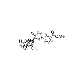 COC(=O)c1cccc(-c2ccc(F)c(B3OC(C)(C)C(C)(C)O3)c2)c1